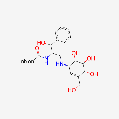 CCCCCCCCCC(=O)NC(CN[C@@H]1C=C(CO)C(O)[C@H](O)C1O)C(O)c1ccccc1